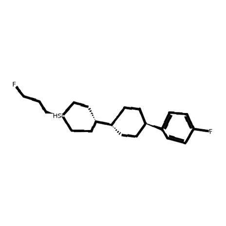 FCCC[Si@H]1CC[C@H]([C@H]2CC[C@H](c3ccc(F)cc3)CC2)CC1